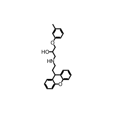 Cc1cccc(OCC(O)CNCCC2c3ccccc3Oc3ccccc32)c1